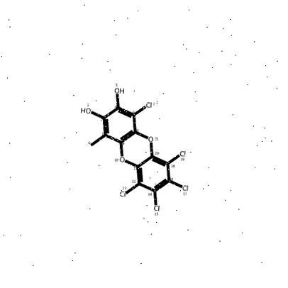 Cc1c(O)c(O)c(Cl)c2c1Oc1c(Cl)c(Cl)c(Cl)c(Cl)c1O2